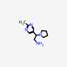 Cc1ncc(C(CN)N2CCCC2)cn1